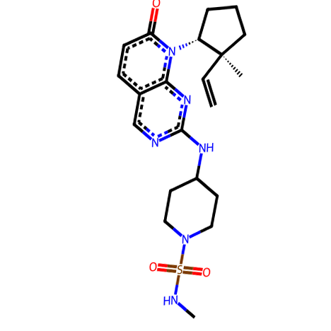 C=C[C@]1(C)CCC[C@H]1n1c(=O)ccc2cnc(NC3CCN(S(=O)(=O)NC)CC3)nc21